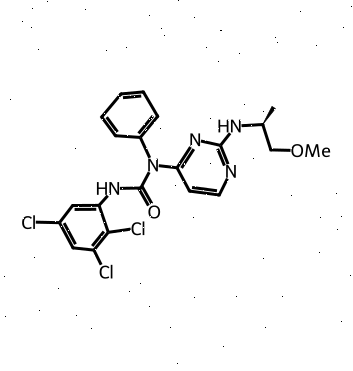 COC[C@H](C)Nc1nccc(N(C(=O)Nc2cc(Cl)cc(Cl)c2Cl)c2ccccc2)n1